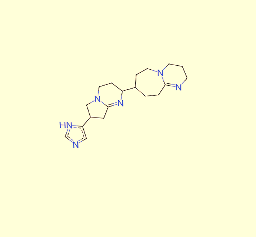 c1ncc(C2CC3=NC(C4CCC5=NCCCN5CC4)CCN3C2)[nH]1